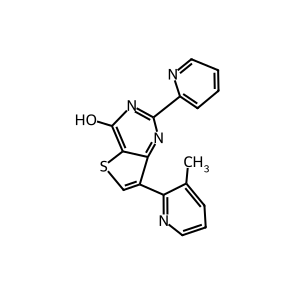 Cc1cccnc1-c1csc2c(O)nc(-c3ccccn3)nc12